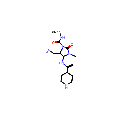 C=C(NC1C(CN)N(C(=O)NCCCCCCCCC)C(=O)N1C)C1CCNCC1